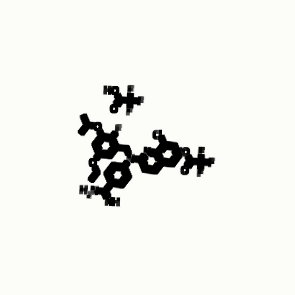 CCOc1cc(CN(c2ccc(C(=N)N)cc2)c2ccc3cccc(Cl)c3n2)c(F)c(OC(C)C)c1.O=C(O)C(F)(F)F.O=C(O)C(F)(F)F